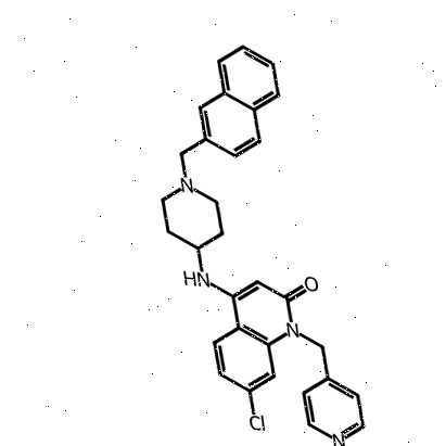 O=c1cc(NC2CCN(Cc3ccc4ccccc4c3)CC2)c2ccc(Cl)cc2n1Cc1ccncc1